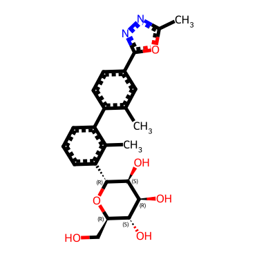 Cc1nnc(-c2ccc(-c3cccc([C@H]4O[C@H](CO)[C@@H](O)[C@H](O)[C@@H]4O)c3C)c(C)c2)o1